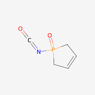 O=C=NP1(=O)CC=CC1